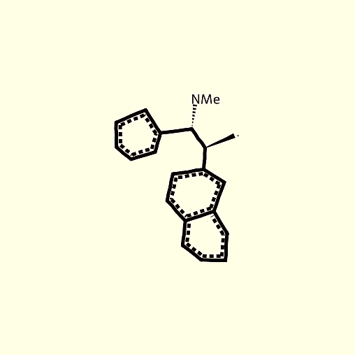 [CH2][C@@H](c1ccc2ccccc2c1)[C@@H](NC)c1ccccc1